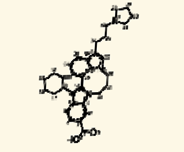 O=C(O)c1ccc2c(C3CCCCC3)c3n(c2c1)CCCn1cc(CCCN2CCCC2)c2cccc-3c21